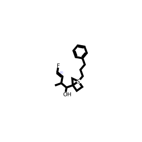 CC(/C=C/F)C(O)C12CCS1(CCCc1ccccc1)C2